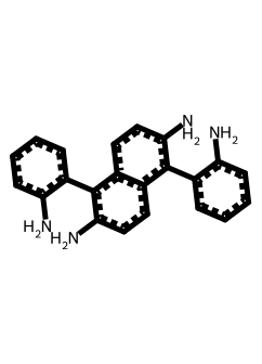 Nc1ccccc1-c1c(N)ccc2c(-c3ccccc3N)c(N)ccc12